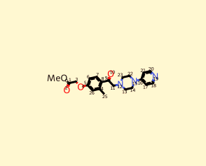 COC(=O)COc1ccc(C(=O)CN2CCN(c3ccncc3)CC2)c(C)c1